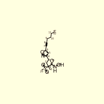 C[C@@](CCc1cc(C#CCCCF)on1)(C(=O)NO)S(C)(=O)=O